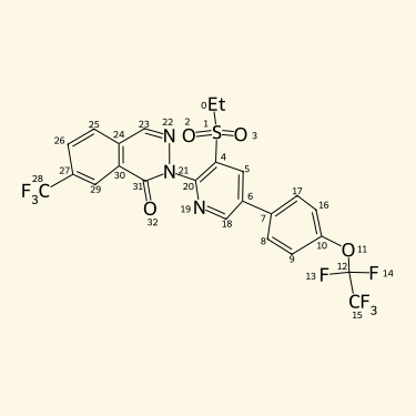 CCS(=O)(=O)c1cc(-c2ccc(OC(F)(F)C(F)(F)F)cc2)cnc1-n1ncc2ccc(C(F)(F)F)cc2c1=O